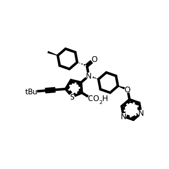 CC(C)(C)C#Cc1cc(N(C(=O)[C@H]2CC[C@H](C)CC2)[C@H]2CC[C@H](Oc3cncnc3)CC2)c(C(=O)O)s1